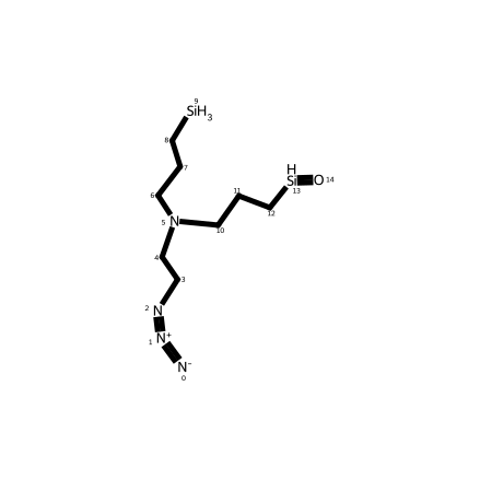 [N-]=[N+]=NCCN(CCC[SiH3])CCC[SiH]=O